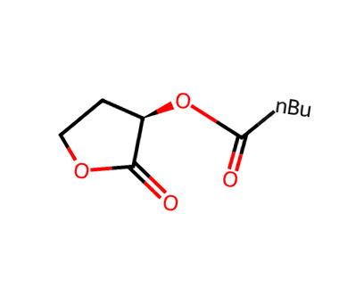 CCCCC(=O)O[C@@H]1CCOC1=O